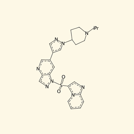 CC(C)N1CCC(n2cc(-c3cnc4cnn(S(=O)(=O)c5cnc6ccccn56)c4c3)cn2)CC1